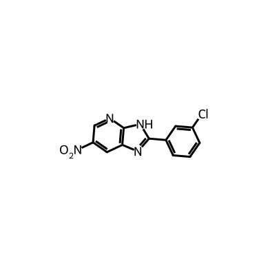 O=[N+]([O-])c1cnc2[nH]c(-c3cccc(Cl)c3)nc2c1